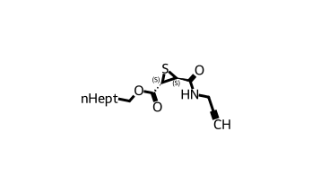 C#CCNC(=O)[C@@H]1S[C@H]1C(=O)OCCCCCCCC